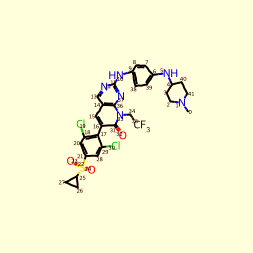 CN1CCC(Nc2ccc(Nc3ncc4cc(-c5c(Cl)cc(S(=O)(=O)C6CC6)cc5Cl)c(=O)n(CC(F)(F)F)c4n3)cc2)CC1